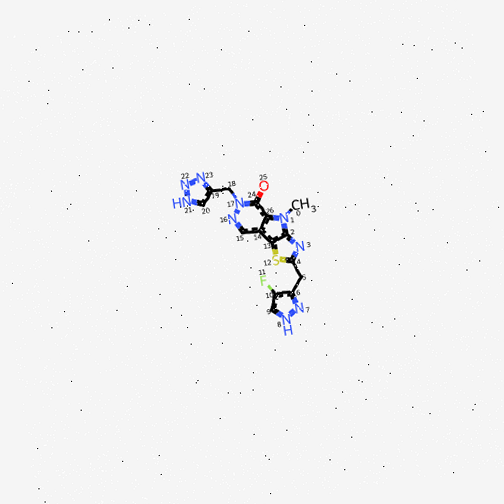 Cn1c2nc(Cc3n[nH]cc3F)sc2c2cnn(Cc3c[nH]nn3)c(=O)c21